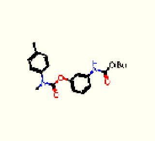 Cc1ccc(N(C)C(=O)Oc2cccc(NC(=O)OCC(C)C)c2)cc1